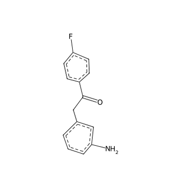 Nc1cccc(CC(=O)c2ccc(F)cc2)c1